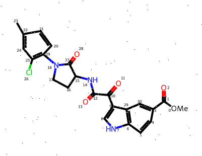 COC(=O)c1ccc2[nH]cc(C(=O)C(=O)NC3CCN(c4ccc(C)cc4Cl)C3=O)c2c1